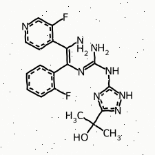 CC(C)(O)c1n[nH]c(N/C(N)=N/C(=C(\N)c2ccncc2F)c2ccccc2F)n1